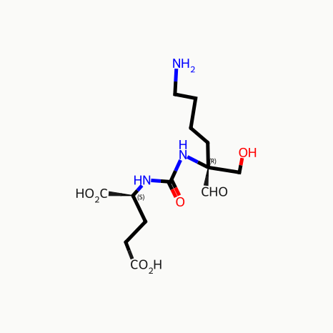 NCCCC[C@](C=O)(CO)NC(=O)N[C@@H](CCC(=O)O)C(=O)O